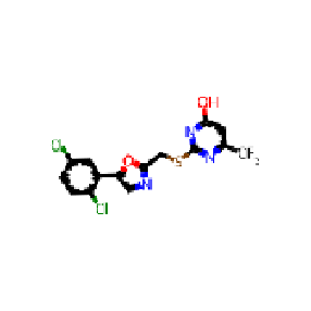 Oc1cc(C(F)(F)F)nc(SCc2ncc(-c3cc(Cl)ccc3Cl)o2)n1